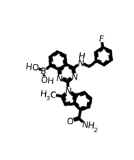 Cc1cc2c(C(N)=O)cccc2n1-c1nc(NCc2cccc(F)c2)c2cccc(B(O)O)c2n1